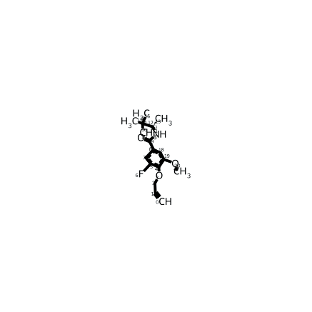 C#CCOc1c(F)cc(C(=O)N[C@@H](C)C(C)(C)C)cc1OC